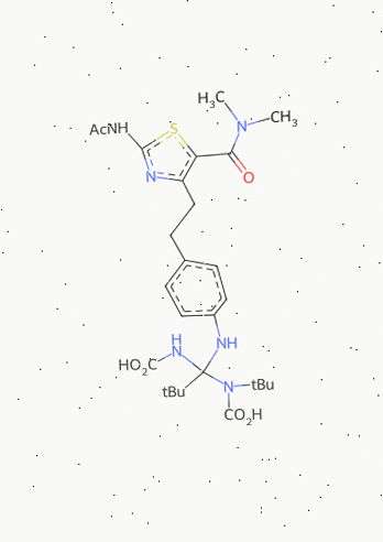 CC(=O)Nc1nc(CCc2ccc(NC(NC(=O)O)(N(C(=O)O)C(C)(C)C)C(C)(C)C)cc2)c(C(=O)N(C)C)s1